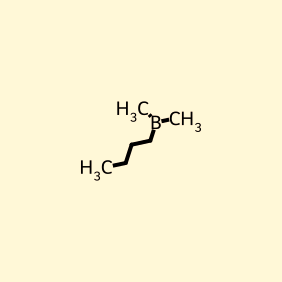 CCCCB(C)C